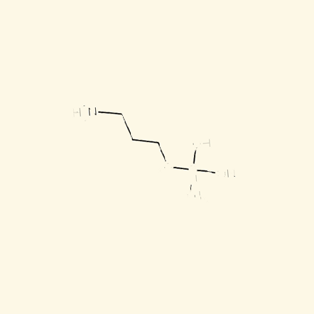 C[PH](O)(O)OCCCN